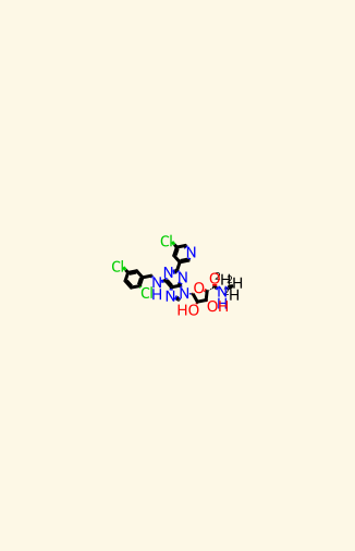 [2H]C([2H])([2H])NC(=O)[C@H]1O[C@@H](n2cnc3c(NCc4cc(Cl)ccc4Cl)nc(-c4cncc(Cl)c4)nc32)[C@H](O)[C@@H]1O